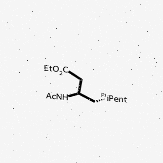 CCC[C@@H](C)CC(CC(=O)OCC)NC(C)=O